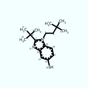 CC(C)(C)CCn1c(C(C)(C)C)nc2cc(S)ccc21